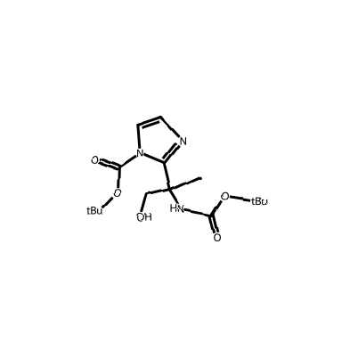 CC(C)(C)OC(=O)NC(C)(CO)c1nccn1C(=O)OC(C)(C)C